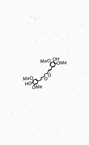 COc1cc(/C=C/C(=O)CC(=O)/C=C/c2cc(OC)c(O)c(OC)c2)cc(OC)c1O